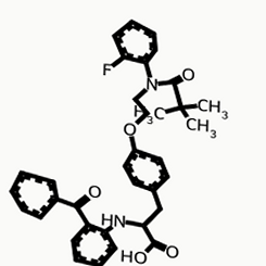 CC(C)(C)C(=O)N(CCOc1ccc(CC(Nc2ccccc2C(=O)c2ccccc2)C(=O)O)cc1)c1ccccc1F